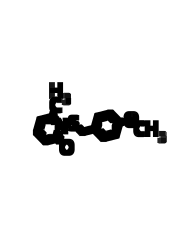 COc1ccc(CSn2c(C)cccc2=O)cc1